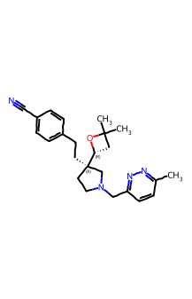 Cc1ccc(CN2CC[C@@](CCc3ccc(C#N)cc3)([C@H]3CC(C)(C)O3)C2)nn1